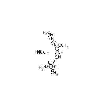 COc1cc(Nc2ncc(C#Cc3c(Cl)c(OC)cc(OC)c3Cl)cn2)ccc1N1CCC(N2CCN(C)CC2)CC1.Cl.Cl.Cl